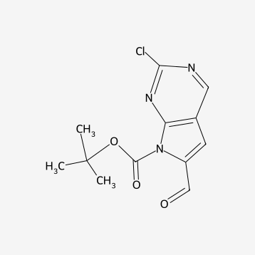 CC(C)(C)OC(=O)n1c(C=O)cc2cnc(Cl)nc21